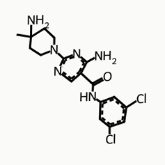 CC1(N)CCN(c2ncc(C(=O)Nc3cc(Cl)cc(Cl)c3)c(N)n2)CC1